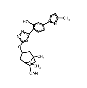 COC1CC2(C)CC(Oc3nnc(-c4ccc(-n5ccc(C)n5)cc4O)s3)CC1N2C